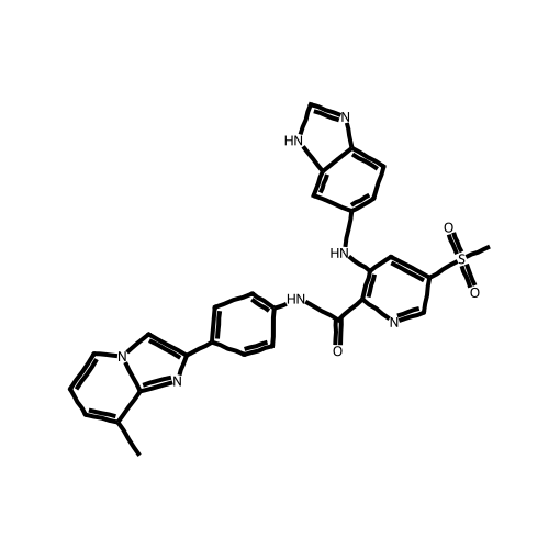 Cc1cccn2cc(-c3ccc(NC(=O)c4ncc(S(C)(=O)=O)cc4Nc4ccc5nc[nH]c5c4)cc3)nc12